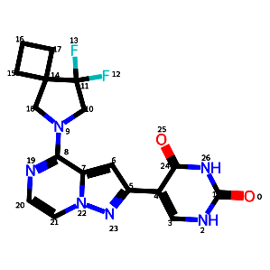 O=c1[nH]cc(-c2cc3c(N4CC(F)(F)C5(CCC5)C4)nccn3n2)c(=O)[nH]1